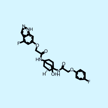 O=C(COc1cc(F)c2cn[nH]c2c1)NC12CCC(NC(=O)COc3ccc(F)cc3)(CC1)[C@@H](O)C2